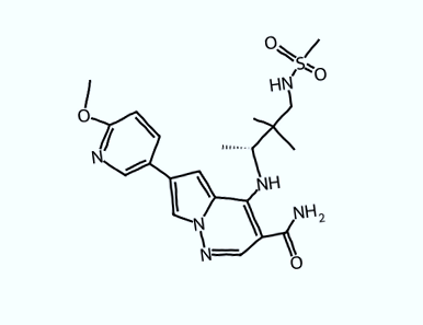 COc1ccc(-c2cc3c(N[C@H](C)C(C)(C)CNS(C)(=O)=O)c(C(N)=O)cnn3c2)cn1